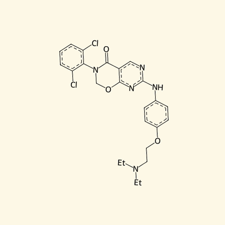 CCN(CC)CCOc1ccc(Nc2ncc3c(n2)OCN(c2c(Cl)cccc2Cl)C3=O)cc1